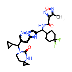 Cc1nonc1C(=O)NC(c1cn2ncc(C(C3CC3)N3CCC4(CC4)NC3=O)cc2n1)C1CCC(F)(F)CC1